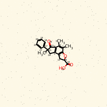 Cc1c(C)c2c(c3c1OC(C(=O)O)C3)CC(C)(c1ccccc1)C2=O